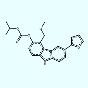 COCc1c(OC(=O)OC(C)C)ncc2[nH]c3ccc(-c4ccco4)cc3c12